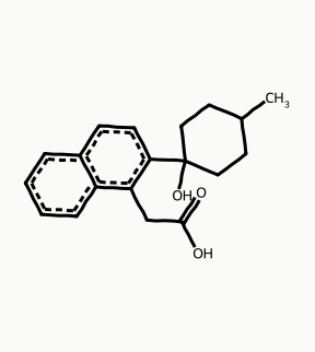 CC1CCC(O)(c2ccc3ccccc3c2CC(=O)O)CC1